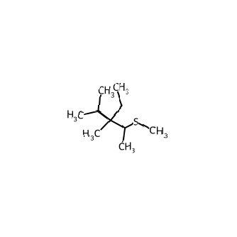 CCC(C)(C(C)C)C(C)SC